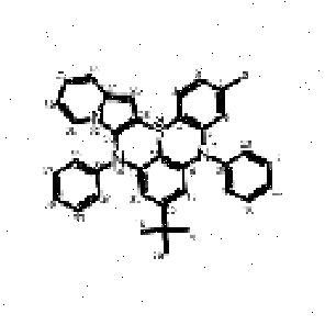 Cc1ccc2c(c1)N(c1ccccc1)c1cc(C(C)(C)C)cc3c1B2c1cc2ccccn2c1N3c1ccccc1